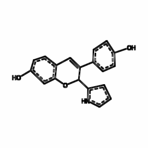 Oc1ccc(C2=Cc3ccc(O)cc3OC2c2ccc[nH]2)cc1